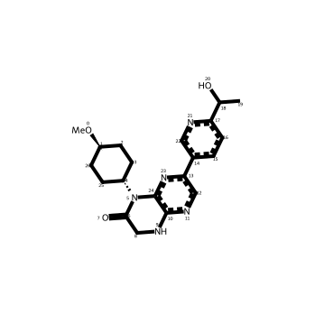 CO[C@H]1CC[C@H](N2C(=O)CNc3ncc(-c4ccc(C(C)O)nc4)nc32)CC1